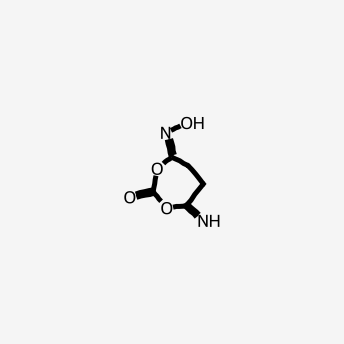 N=C1CCC(=NO)OC(=O)O1